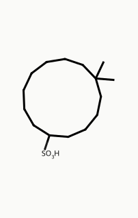 CC1(C)CCCCCCCC(S(=O)(=O)O)CCCC1